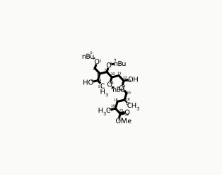 CCCCOCC(C(C)O)C(OCCCC)C(CC(O)OC[C@@H](C)CC(C)C(=O)OC)OCCCC